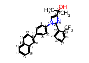 CC(C)(O)c1cn(-c2ccc(-c3ccc4ccccc4c3)cc2)c(-c2ccccc2C(F)(F)F)n1